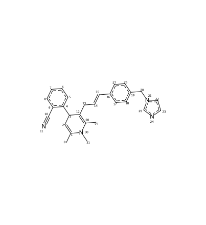 CC1=CC(c2ccccc2C#N)C(CC=Cc2ccc(Cn3ccnc3)cc2)=C(C)N1C